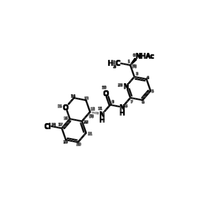 CC(=O)N[C@H](C)c1cccc(NC(=O)N[C@H]2CCOc3c(Cl)cccc32)n1